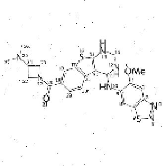 COc1cc2nnsc2cc1NC1NCNc2sc3cc(C(=O)N4CC(N(C)C)C4)ccc3c21